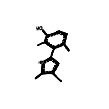 Cc1cc(-c2c(C)ccc(O)c2C)[nH]c1C